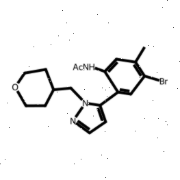 CC(=O)Nc1cc(C)c(Br)cc1-c1ccnn1CC1CCOCC1